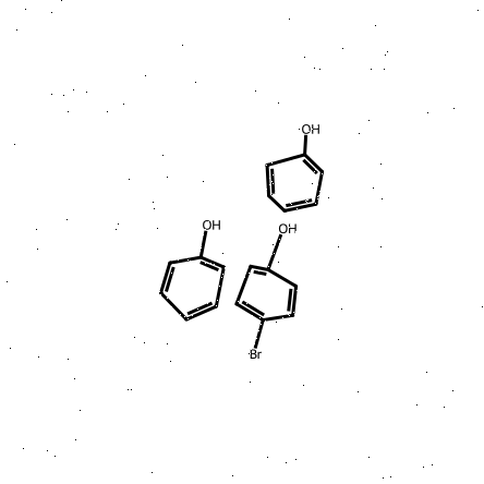 Oc1ccc(Br)cc1.Oc1ccccc1.Oc1ccccc1